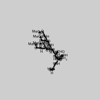 COC(=O)CSC(=O)CCCC(=O)NCCCC[C@H](NC(=O)CCCC(=O)SCC(=O)OC)C(=O)NCC(=O)NCCCC[C@H](NC(=O)CNC(=O)[C@H](CCCCNC(=O)CCCC(=O)SCC(=O)OC)NC(=O)CCCC(=O)SCC(=O)OC)C(=O)NCCCC[C@H](NC(=O)CNC=O)C(=O)NCC(=O)N[C@@H](CCCCNC(=O)CCCC[C@@H]1SCC2NC(=O)NC21)C(=O)N[C@@H](Cc1ccc(O)cc1)C(N)=O